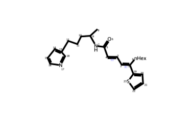 CCCCCC/C(=C\C=C\C(=O)NC(C)CCCc1cccnc1)c1cccs1